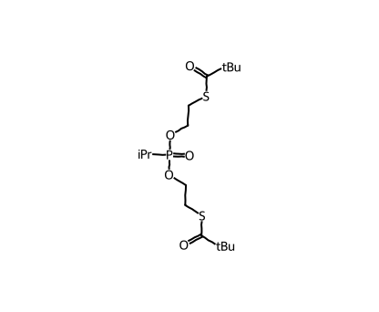 CC(C)P(=O)(OCCSC(=O)C(C)(C)C)OCCSC(=O)C(C)(C)C